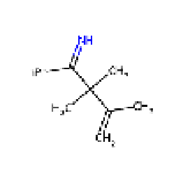 C=C(C)C(C)(C)C(=N)CCC